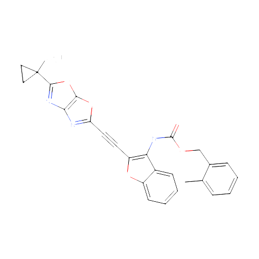 Cc1ccccc1COC(=O)Nc1c(C#Cc2nc3nc(C4(C(=O)O)CC4)oc3o2)oc2ccccc12